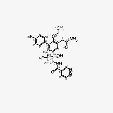 CCOc1c(CC(N)=O)cc([C@@](O)(CNC(=O)c2ccnnc2)C(F)(F)F)nc1-c1ccc(F)cc1